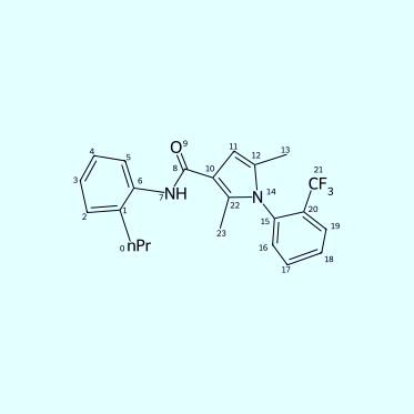 CCCc1ccccc1NC(=O)c1cc(C)n(-c2ccccc2C(F)(F)F)c1C